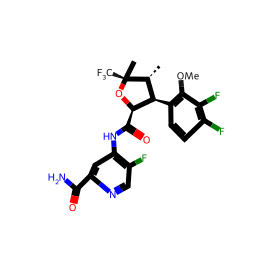 COc1c([C@H]2[C@@H](C(=O)Nc3cc(C(N)=O)ncc3F)O[C@@](C)(C(F)(F)F)[C@@H]2C)ccc(F)c1F